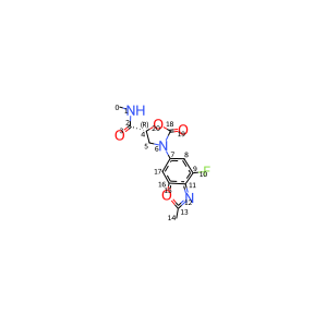 CNC(=O)[C@H]1CN(c2cc(F)c3nc(C)oc3c2)C(=O)O1